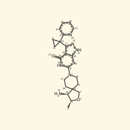 C[C@@H]1OCC2(CCN(c3nc4[nH]nc(C5(c6ccccn6)CC5)c4c(=O)[nH]3)CC2)[C@@H]1N